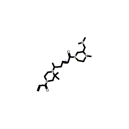 C=CC(=O)N1CCN(C(C)C/C=C/C(=O)N2CCN(C)C(CN(C)C)C2)C(C)(C)C1